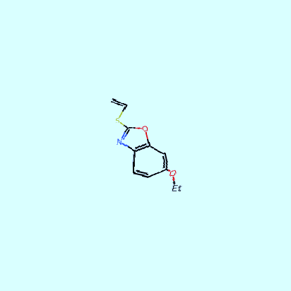 C=CSc1nc2ccc(OCC)cc2o1